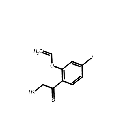 C=COc1cc(I)ccc1C(=O)CS